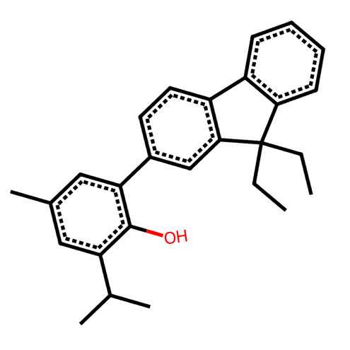 CCC1(CC)c2ccccc2-c2ccc(-c3cc(C)cc(C(C)C)c3O)cc21